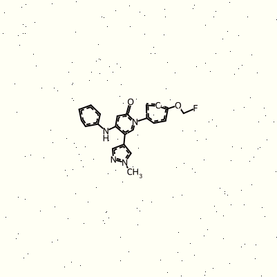 Cn1cc(-c2cn(-c3ccc(OCF)cc3)c(=O)cc2Nc2ccccc2)cn1